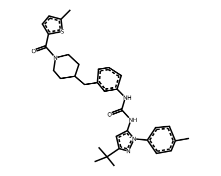 Cc1ccc(-n2nc(C(C)(C)C)cc2NC(=O)Nc2cccc(CC3CCN(C(=O)c4ccc(C)s4)CC3)c2)cc1